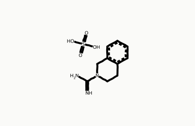 N=C(N)N1CCc2ccccc2C1.O=S(=O)(O)O